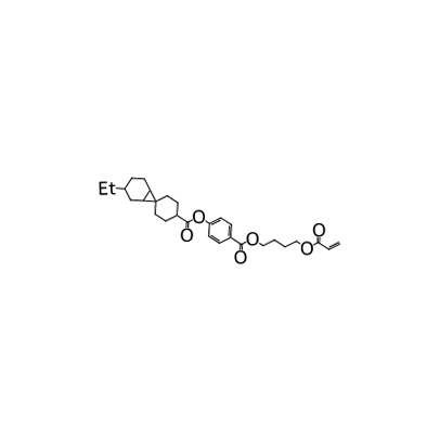 C=CC(=O)OCCCCOC(=O)c1ccc(OC(=O)C2CCC3(CC2)C2CCC(CC)CC23)cc1